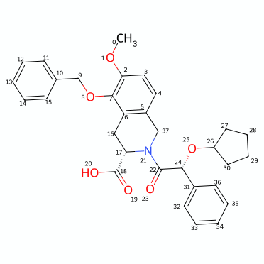 COc1ccc2c(c1OCc1ccccc1)C[C@@H](C(=O)O)N(C(=O)[C@H](OC1CCCC1)c1ccccc1)C2